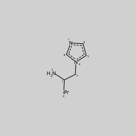 CC(C)C(N)Cn1ccnc1